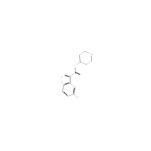 O=C(NC1CCNCC1)c1n[nH]c2ccc(I)cc12